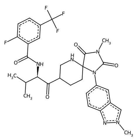 CC(C)[C@@H](NC(=O)c1cc(C(F)(F)F)ccc1F)C(=O)C1CCC2(NC1)C(=O)N(C)C(=O)N2c1ccc2nn(C)cc2c1